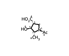 CC(=O)N1C[C@@H](C(=O)O)[C@H](O)[C@H]1C